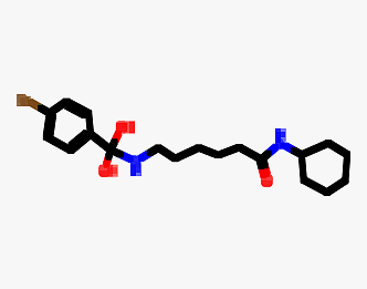 O=C(CCCCCNC(O)(O)c1ccc(Br)cc1)NC1CCCCC1